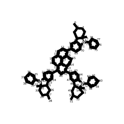 CC1CCC2(C)C(C1)c1cc(-c3ccc4ccc5c(-c6ccc7c(c6)C6CC(C)CCC6(C)N7c6ccccc6)cc(-c6ccc7c(c6)C6CC(C)CCC6(C)N7c6ccccc6)c6ccc3c4c56)ccc1N2c1ccccc1